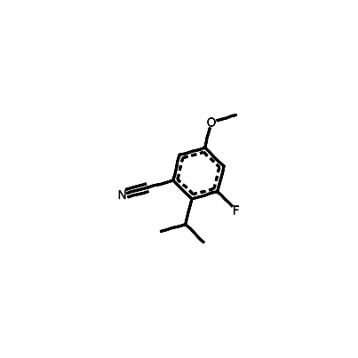 COc1cc(F)c(C(C)C)c(C#N)c1